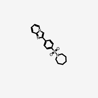 O=S(=O)(c1ccc(-c2cn3ccccc3n2)cc1)N1CCCCCC1